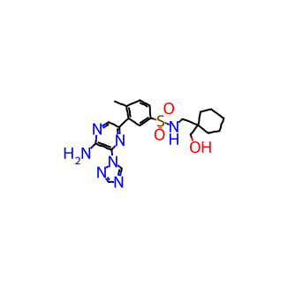 Cc1ccc(S(=O)(=O)NCC2(CO)CCCCC2)cc1-c1cnc(N)c(-n2cncn2)n1